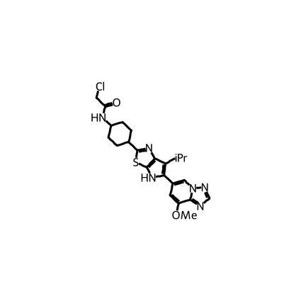 COc1cc(-c2[nH]c3sc(C4CCC(NC(=O)CCl)CC4)nc3c2C(C)C)cn2ncnc12